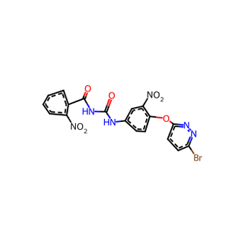 O=C(NC(=O)c1ccccc1[N+](=O)[O-])Nc1ccc(Oc2ccc(Br)nn2)c([N+](=O)[O-])c1